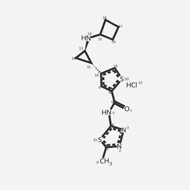 Cc1nnc(NC(=O)c2cc([C@@H]3C[C@H]3NC3CCC3)cs2)s1.Cl